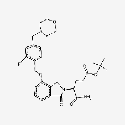 CC(C)(C)OC(=O)CCC(C(N)=O)N1Cc2c(OCc3ccc(CN4CCOCC4)cc3F)cccc2C1=O